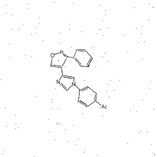 CC(=O)c1ccc(-n2cnc(-c3conc3-c3ccccc3)c2)cc1